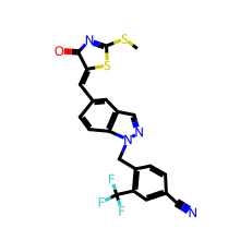 CSC1=NC(=O)C(=Cc2ccc3c(cnn3Cc3ccc(C#N)cc3C(F)(F)F)c2)S1